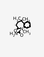 CC1(C)C[CH]C(=O)[N+](C)(C(N)=O)c2ccccc21